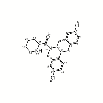 CC(C(Cc1ccc(Cl)cc1)c1ccc(Cl)cc1)N(C)C(=O)C1CCCCN1